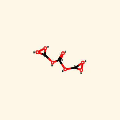 O=C(OC1OO1)OC1OO1